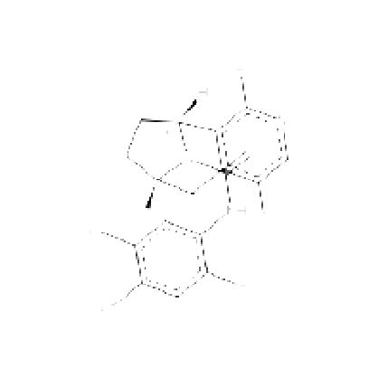 O=C(Nc1cc(Cl)c(Cl)cc1F)N1[C@H]2CC[C@@H]1c1c(F)ncc(Cl)c1C2